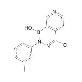 Cc1cccc(N2N=C(Cl)c3ccncc3B2O)c1